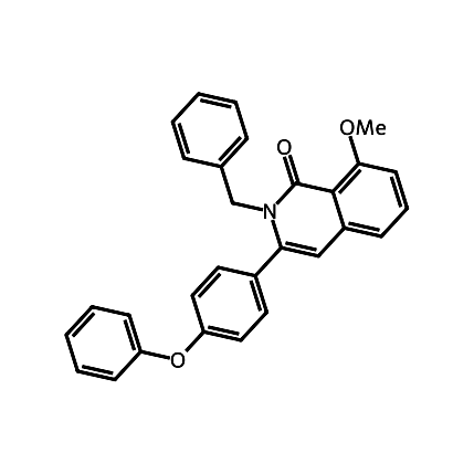 COc1cccc2cc(-c3ccc(Oc4ccccc4)cc3)n(Cc3ccccc3)c(=O)c12